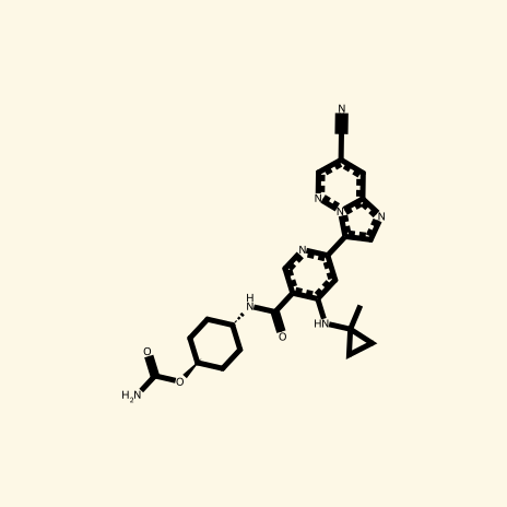 CC1(Nc2cc(-c3cnc4cc(C#N)cnn34)ncc2C(=O)N[C@H]2CC[C@H](OC(N)=O)CC2)CC1